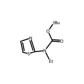 CCN(C(=O)OC(C)(C)C)c1nccs1